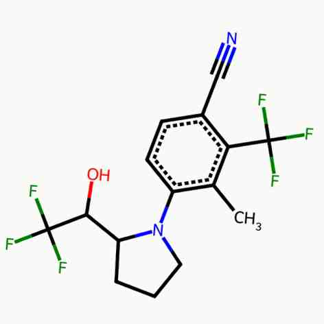 Cc1c(N2CCCC2C(O)C(F)(F)F)ccc(C#N)c1C(F)(F)F